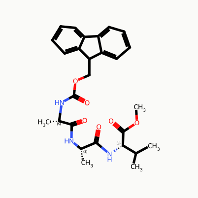 COC(=O)[C@@H](NC(=O)[C@H](C)NC(=O)[C@H](C)NC(=O)OCC1c2ccccc2-c2ccccc21)C(C)C